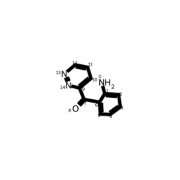 Nc1ccccc1C(=O)c1cccnn1